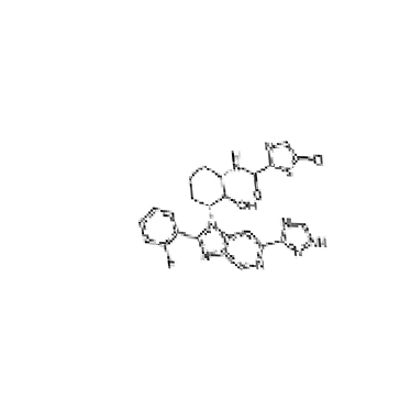 O=C(N[C@H]1CCC[C@@H](n2c(-c3ccccc3F)nc3cnc(-c4nc[nH]n4)cc32)[C@@H]1O)c1ncc(Cl)s1